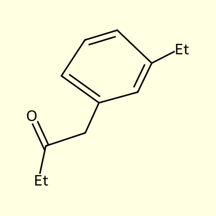 CCC(=O)Cc1cccc(CC)c1